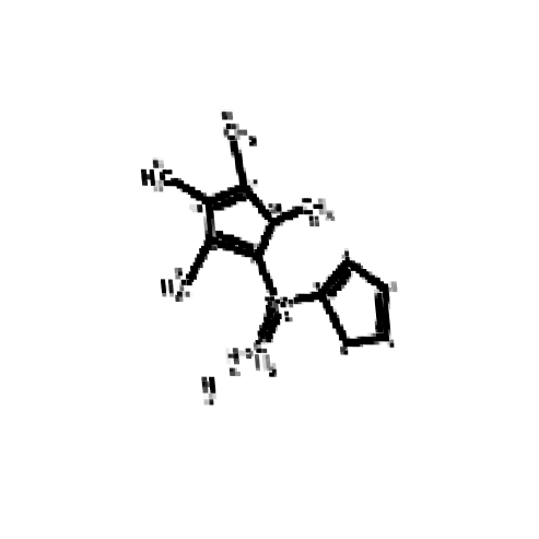 [CH2]=[Zr+2]([C]1=CC=CC1)[C]1=C(C)C(C)=C(C)C1C.[H-].[H-]